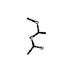 COC(C)OC(C)Br